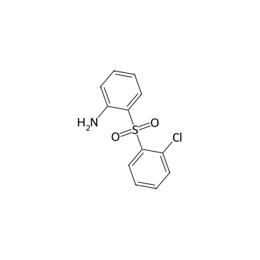 Nc1ccccc1S(=O)(=O)c1ccccc1Cl